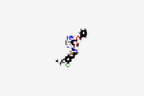 CCC(C(=N)C(=O)OCc1ccccc1)C(=O)Nc1ncc(Cc2ccc(C)c(Cl)c2)s1